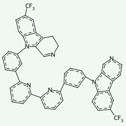 FC(F)(F)c1ccc2c(c1)c1c(n2-c2cccc(-c3cccc(-c4cccc(-c5cccc(-n6c7ccc(C(F)(F)F)cc7c7ccncc76)c5)n4)n3)c2)C=NCC1